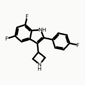 Fc1ccc(-c2[nH]c3c(F)cc(F)cc3c2C2CNC2)cc1